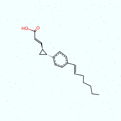 CCCCC/C=C/c1ccc([C@@H]2C[C@H]2/C=C/C(=O)O)cc1